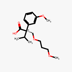 COCCCOC[C@](C(=O)O)(c1cccc(OC)c1)C(C)C